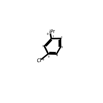 CC(C)c1c[c]cc(Cl)c1